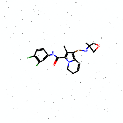 Cc1c(SNC2(C)COC2)c2n(c1C(=O)Nc1ccc(F)c(F)c1)CCC=C2